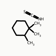 CC1CCCCC1(C)C.N=C=S